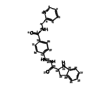 O=C(NCc1ccccn1)c1ccc(NNC(=O)C2Cc3ccccc3N2)cc1